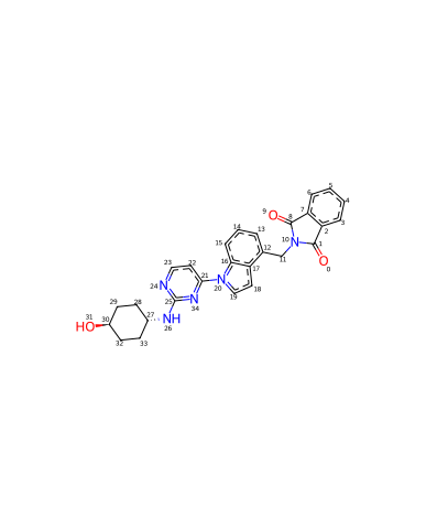 O=C1c2ccccc2C(=O)N1Cc1cccc2c1ccn2-c1ccnc(N[C@H]2CC[C@H](O)CC2)n1